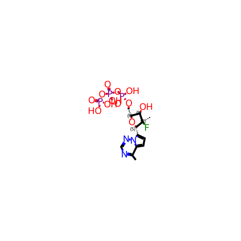 Cc1ncnn2c([C@@H]3O[C@H](COP(=O)(O)OP(=O)(O)OP(=O)(O)O)[C@@H](O)[C@@]3(C)F)ccc12